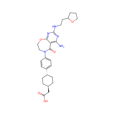 Nc1nc(NCCC2CCCO2)nc2c1C(=O)N(c1ccc([C@H]3CC[C@H](CC(=O)O)CC3)cc1)CCO2